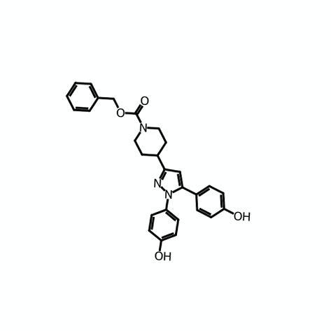 O=C(OCc1ccccc1)N1CCC(c2cc(-c3ccc(O)cc3)n(-c3ccc(O)cc3)n2)CC1